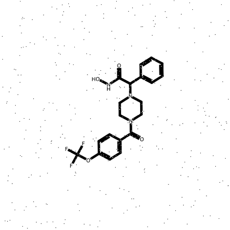 O=C(NO)C(c1ccccc1)N1CCN(C(=O)c2ccc(OC(F)(F)F)cc2)CC1